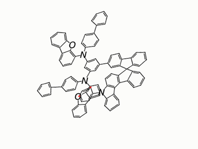 c1ccc(-c2ccc(N(c3cc(-c4ccc5c(c4)C4(c6ccccc6-5)c5ccccc5-c5c4ccc4c5c5ccccc5n4-c4ccccc4)cc(N(c4ccc(-c5ccccc5)cc4)c4cccc5c4oc4ccccc45)c3)c3cccc4c3oc3ccccc34)cc2)cc1